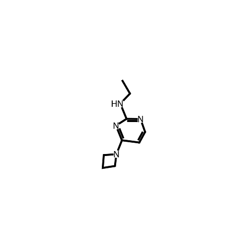 CCNc1nccc(N2CCC2)n1